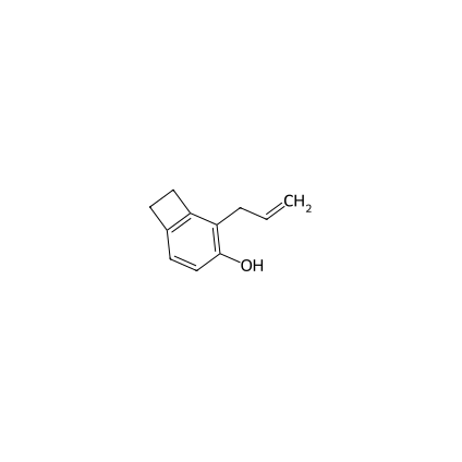 C=CCc1c(O)ccc2c1CC2